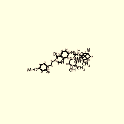 COc1ccc(CCn2cnc3cc(N=C(N[C@@H]4C[C@H]5C[C@H]([C@H]4C)C5(C)C)N4CCN(O)[C@@H](C)C4)ccc3c2=O)c(F)c1